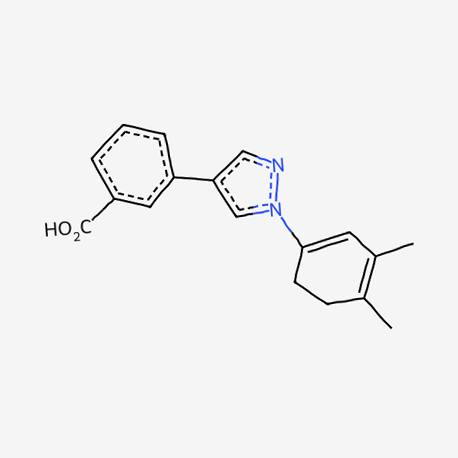 CC1=C(C)CCC(n2cc(-c3cccc(C(=O)O)c3)cn2)=C1